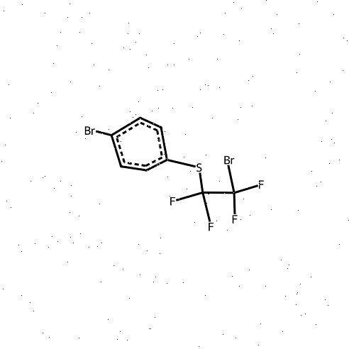 FC(F)(Br)C(F)(F)Sc1ccc(Br)cc1